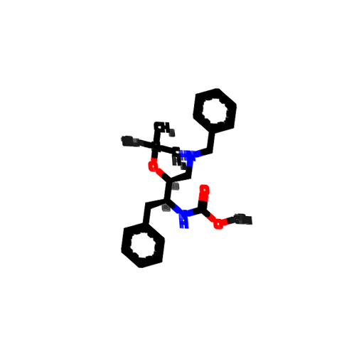 CC(C)(C)OC(=O)N[C@@H](Cc1ccccc1)[C@H](CNCc1ccccc1)O[Si](C)(C)C(C)(C)C